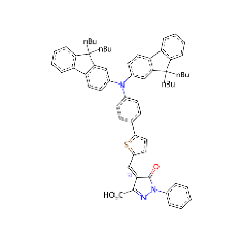 CCCCC1(CCCC)c2ccccc2-c2ccc(N(c3ccc(-c4ccc(/C=C5\C(=O)N(c6ccccc6)N=C5C(=O)O)s4)cc3)c3ccc4c(c3)C(CCCC)(CCCC)c3ccccc3-4)cc21